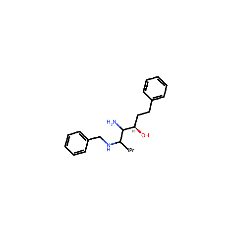 CC(C)C(NCc1ccccc1)C(N)[C@H](O)CCc1ccccc1